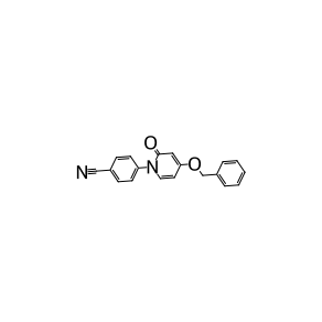 N#Cc1ccc(-n2ccc(OCc3ccccc3)cc2=O)cc1